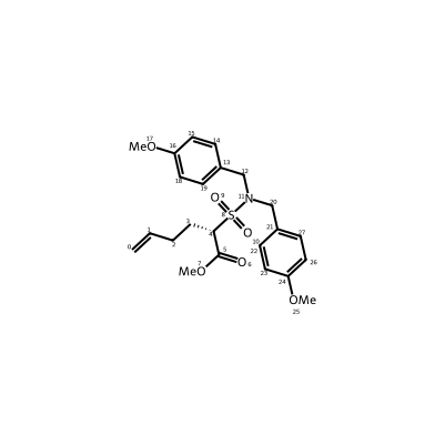 C=CCC[C@@H](C(=O)OC)S(=O)(=O)N(Cc1ccc(OC)cc1)Cc1ccc(OC)cc1